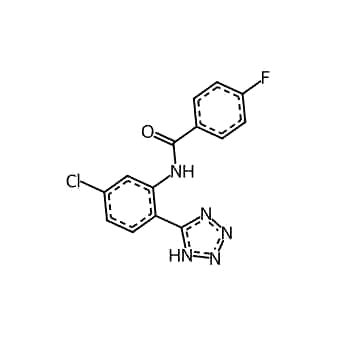 O=C(Nc1cc(Cl)ccc1-c1nnn[nH]1)c1ccc(F)cc1